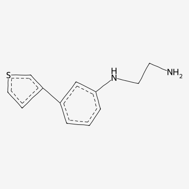 NCCNc1cccc(-c2ccsc2)c1